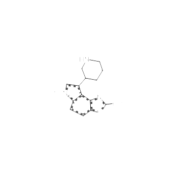 CCCc1nc2c(ccc3[nH]cc(C4CCCNC4)c32)o1.Cl